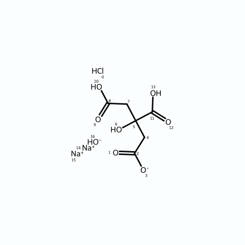 Cl.O=C([O-])CC(O)(CC(=O)O)C(=O)O.[Na+].[Na+].[OH-]